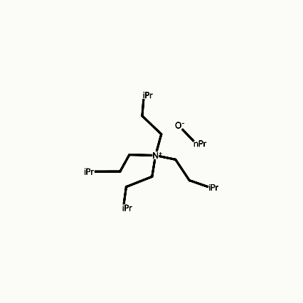 CC(C)CC[N+](CCC(C)C)(CCC(C)C)CCC(C)C.CCC[O-]